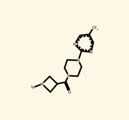 [2H]N1CC(C(=O)N2CCN(c3ncc(C(F)(F)F)cn3)CC2)C1